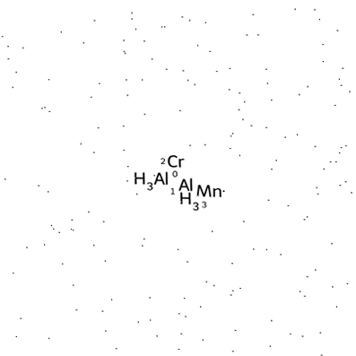 [AlH3].[AlH3].[Cr].[Mn]